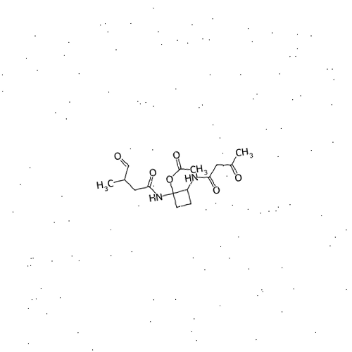 CC(=O)CC(=O)NC1CCC1(NC(=O)CC(C)C=O)OC(C)=O